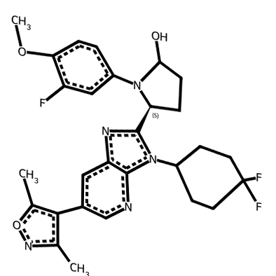 COc1ccc(N2C(O)CC[C@H]2c2nc3cc(-c4c(C)noc4C)cnc3n2C2CCC(F)(F)CC2)cc1F